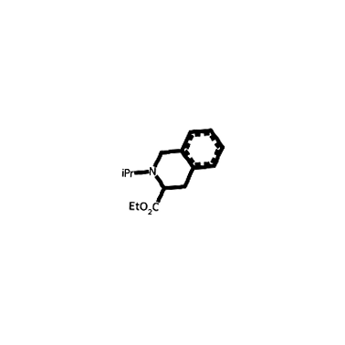 CCOC(=O)C1Cc2ccccc2CN1C(C)C